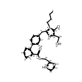 CCCCn1c(Cc2ccc(-c3ccccc3C(=O)OCc3ncc[nH]3)cc2)nc(CO)c1Cl